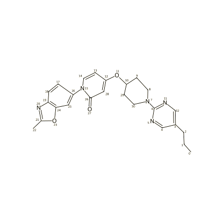 CCCc1cnc(N2CCC(Oc3ccn(-c4ccc5nc(C)oc5c4)c(=O)c3)CC2)nc1